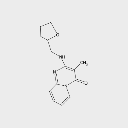 Cc1c(NCC2CCCO2)nc2ccccn2c1=O